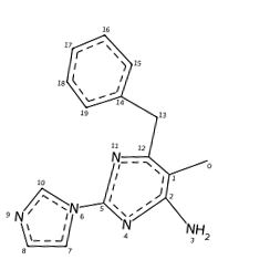 Cc1c(N)nc(-n2ccnc2)nc1Cc1ccccc1